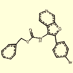 O=C(Nc1c(-c2ccc(Br)cc2)oc2cnccc12)OCc1ccccc1